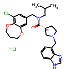 CC(C)CN(Cc1cc(Cl)c2c(c1)OCCCO2)C(=O)[C@@H]1CCN(Cc2cccc3[nH]cnc23)C1.Cl